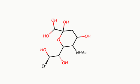 CC[C@@H](O)[C@@H](O)C1OC(O)(C(O)O)CC(O)C1NC(C)=O